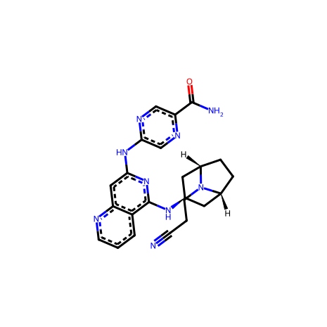 N#CCCN1[C@@H]2CC[C@H]1C[C@H](Nc1nc(Nc3cnc(C(N)=O)cn3)cc3ncccc13)C2